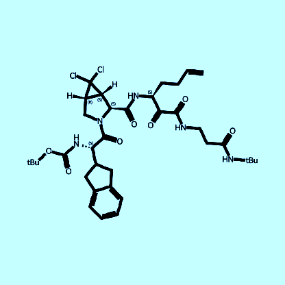 C=CCC[C@H](NC(=O)[C@@H]1[C@@H]2[C@H](CN1C(=O)[C@@H](NC(=O)OC(C)(C)C)C1Cc3ccccc3C1)C2(Cl)Cl)C(=O)C(=O)NCCC(=O)NC(C)(C)C